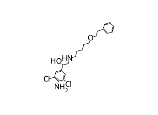 Nc1c(Cl)cc(C(O)CNCCCCCOCCc2ccccc2)cc1Cl